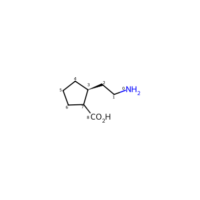 NCC[C@@H]1CCCC1C(=O)O